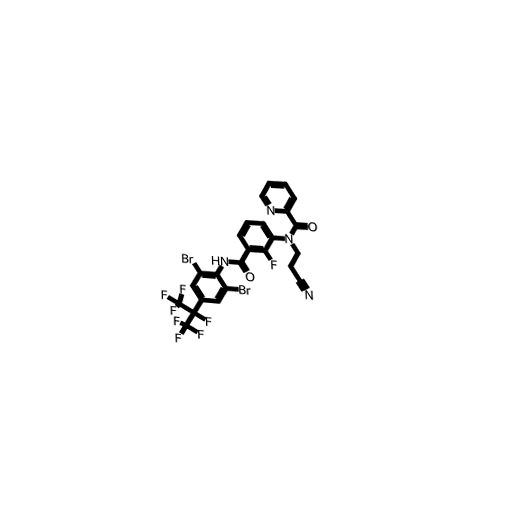 N#CCCN(C(=O)c1ccccn1)c1cccc(C(=O)Nc2c(Br)cc(C(F)(C(F)(F)F)C(F)(F)F)cc2Br)c1F